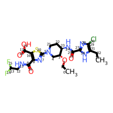 CCO[C@H]1CN(c2nc(C(=O)NCC(F)F)c(C(=O)O)s2)CC[C@H]1NC(=O)c1nc(Cl)c(CC)[nH]1